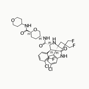 O=C(NC1CCOCC1)[C@@H]1CC[C@@H](NC(=O)[C@@H]2NC3(CC(CF)(CF)C3)[C@@]3(C(=O)Nc4cc(Cl)ccc43)[C@H]2c2cccc(Cl)c2F)CO1